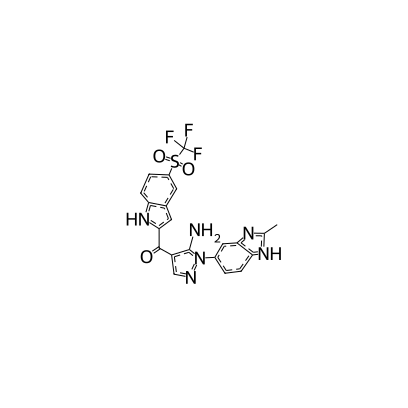 Cc1nc2cc(-n3ncc(C(=O)c4cc5cc(S(=O)(=O)C(F)(F)F)ccc5[nH]4)c3N)ccc2[nH]1